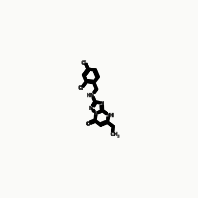 CCc1cc(=O)n2nc(NCc3ccc(Cl)cc3Cl)nc2[nH]1